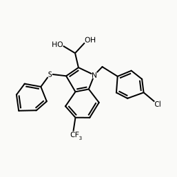 OC(O)c1c(Sc2ccccc2)c2cc(C(F)(F)F)ccc2n1Cc1ccc(Cl)cc1